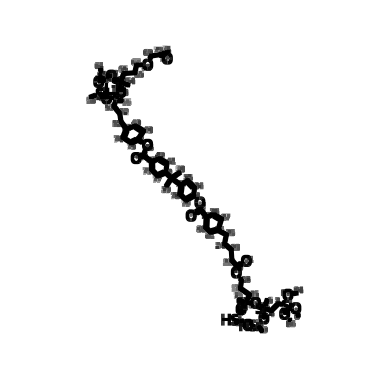 CO[Si](CC[Si]1(C)O[SiH](C)O[SiH](C)O[Si](C)(CCCOC(=O)CCCCc2ccc(C(=O)Oc3ccc(C(C)(C)c4ccc(C(=O)Oc5ccc(CCC[Si]6(C)O[SiH](C)O[SiH](C)O[Si](C)(CCCOCC7CO7)O6)cc5)cc4)cc3)cc2)O1)(OC)OC